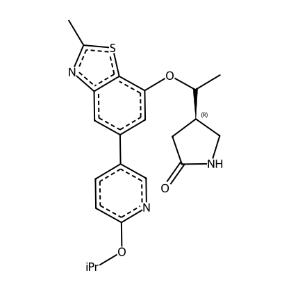 Cc1nc2cc(-c3ccc(OC(C)C)nc3)cc(OC(C)[C@H]3CNC(=O)C3)c2s1